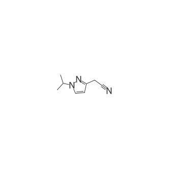 CC(C)n1ccc(CC#N)n1